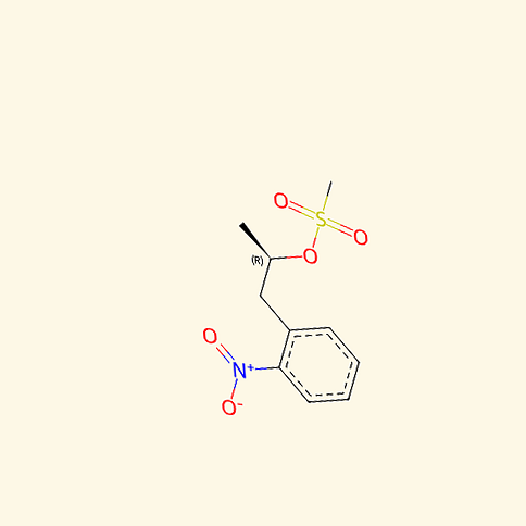 C[C@H](Cc1ccccc1[N+](=O)[O-])OS(C)(=O)=O